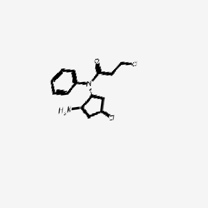 N[C@@H]1CC(Cl)C[C@H]1N(C(=O)CCCl)c1ccccc1